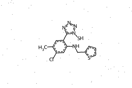 Cc1cc(-c2nnnn2S)c(NCc2cccs2)cc1Cl